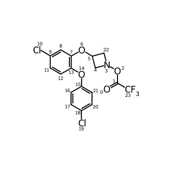 O=C(ON1CC(Oc2cc(Cl)ccc2Oc2ccc(Cl)cc2)C1)C(F)(F)F